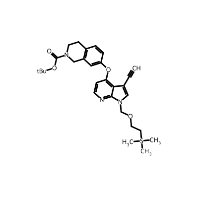 C#Cc1cn(COCCS(C)(C)C)c2nccc(Oc3ccc4c(c3)CN(C(=O)OC(C)(C)C)CC4)c12